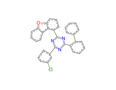 Clc1cccc(-c2nc(-c3ccccc3-c3ccccc3)nc(-c3cccc4oc5ccccc5c34)n2)c1